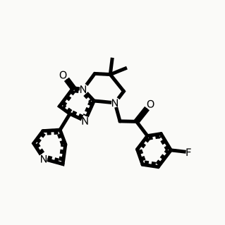 CC1(C)CN(CC(=O)c2cccc(F)c2)c2nc(-c3ccncc3)cc(=O)n2C1